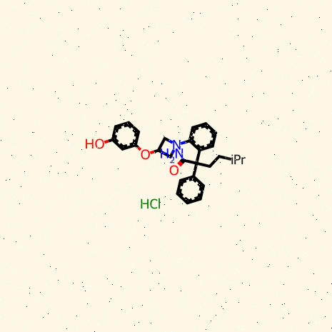 CC(C)CCC(C(N)=O)(c1ccccc1)c1ccccc1N1CC(Oc2cccc(O)c2)C1.Cl